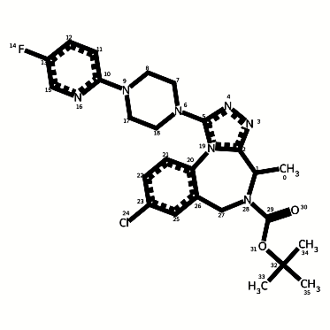 CC1c2nnc(N3CCN(c4ccc(F)cn4)CC3)n2-c2ccc(Cl)cc2CN1C(=O)OC(C)(C)C